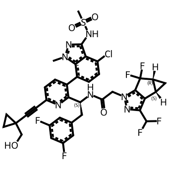 Cn1nc(NS(C)(=O)=O)c2c(Cl)ccc(-c3ccc(C#CC4(CO)CC4)nc3[C@H](Cc3cc(F)cc(F)c3)NC(=O)Cn3nc(C(F)F)c4c3C(F)(F)[C@@H]3C[C@H]43)c21